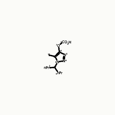 CCCC(CCC)n1nnc(OC(=O)O)c1C